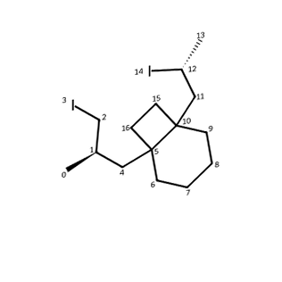 C[C@@H](CI)CC12CCCCC1(C[C@@H](C)I)CC2